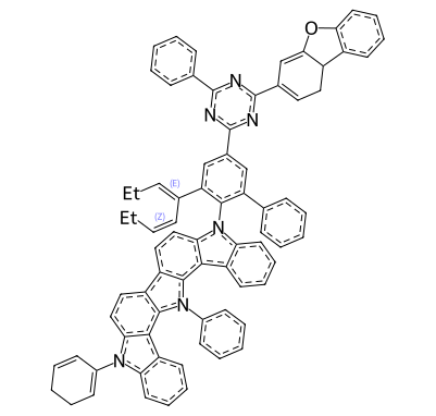 CC/C=C\C(=C/CC)c1cc(-c2nc(C3=CCC4C(=C3)Oc3ccccc34)nc(-c3ccccc3)n2)cc(-c2ccccc2)c1-n1c2ccccc2c2c1ccc1c3ccc4c(c5ccccc5n4C4=CCCC=C4)c3n(-c3ccccc3)c12